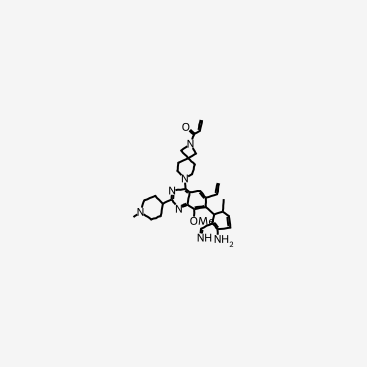 C=CC(=O)N1CC2(CCN(c3nc(C4CCN(C)CC4)nc4c(OC)c(C5C(C=N)=C(N)C=CC5C)c(C=C)cc34)CC2)C1